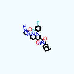 CC1(NC(=O)c2cn(-c3ccc(F)cc3F)c3nc(N4CCNC4=O)ccc3c2=O)CC2CC3C[C@@]3(C2)C1